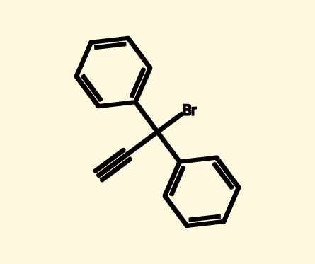 C#CC(Br)(c1ccccc1)c1ccccc1